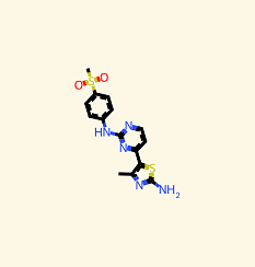 Cc1nc(N)sc1-c1ccnc(Nc2ccc(S(C)(=O)=O)cc2)n1